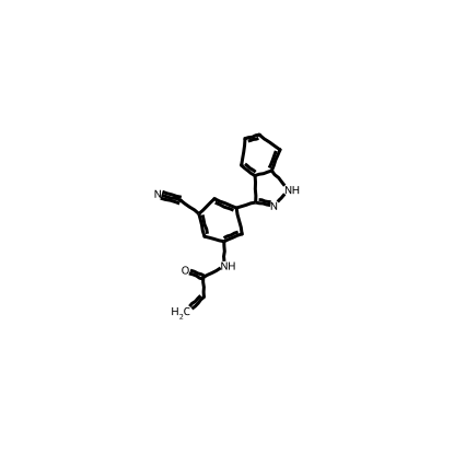 C=CC(=O)Nc1cc(C#N)cc(-c2n[nH]c3ccccc23)c1